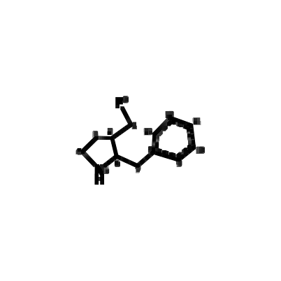 FCC1CCNC1Cc1ccccc1